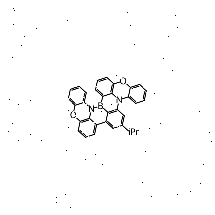 CC(C)c1cc2c3c(c1)N1c4ccccc4Oc4cccc(c41)B3N1c3ccccc3Oc3cccc-2c31